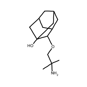 CC(C)(N)COC1C2CC3CC(C2)CC1(O)C3